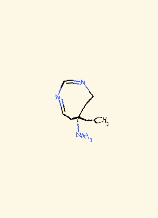 CC1(N)C=NC=NC1